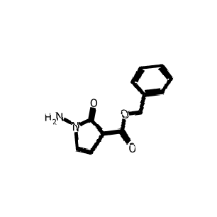 NN1CCC(C(=O)OCc2ccccc2)C1=O